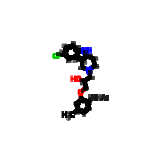 CC(=O)Nc1ccc(C)cc1OCC(O)CN1CCc2[nH]c3ccc(Cl)cc3c2C1